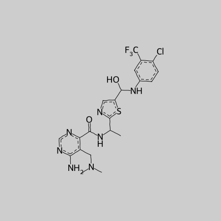 CC(NC(=O)c1ncnc(N)c1CN(C)C)c1ncc(C(O)Nc2ccc(Cl)c(C(F)(F)F)c2)s1